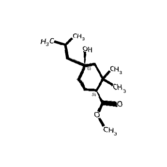 COC(=O)[C@H]1CC[C@](O)(CC(C)C)CC1(C)C